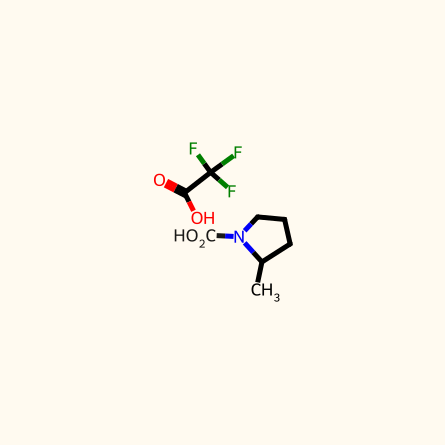 CC1CCCN1C(=O)O.O=C(O)C(F)(F)F